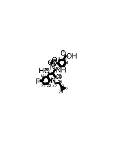 O=C(O)c1ccc2c(c1)S(=O)(=O)N=C(c1c(O)c3cc(F)ccc3n(CCC3CC3)c1=O)N2